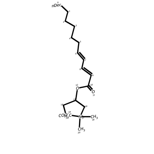 CCCCCCCCCCCCCCCC=CC=CC(=O)OC(CC(=O)[O-])C[N+](C)(C)C